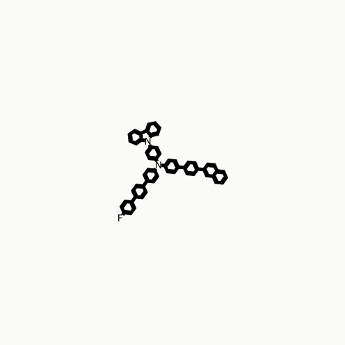 Fc1ccc(-c2ccc(-c3ccc(N(c4ccc(-c5ccc(-c6ccc7ccccc7c6)cc5)cc4)c4ccc(-n5c6ccccc6c6ccccc65)cc4)cc3)cc2)cc1